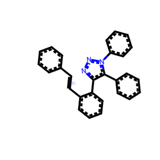 C(=C\c1ccccc1-c1nnn(-c2ccccc2)c1-c1ccccc1)/c1ccccc1